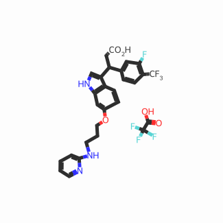 O=C(O)C(F)(F)F.O=C(O)CC(c1ccc(C(F)(F)F)c(F)c1)c1c[nH]c2cc(OCCCNc3ccccn3)ccc12